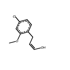 COc1cc(Cl)ccc1C/C=C\O